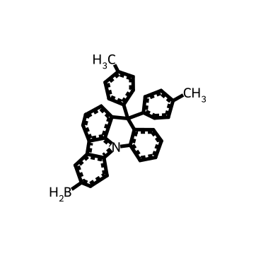 Bc1ccc2c(c1)c1cccc3c1n2-c1ccccc1C3(c1ccc(C)cc1)c1ccc(C)cc1